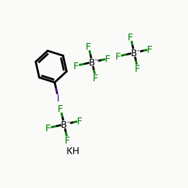 F[B-](F)(F)F.F[B-](F)(F)F.F[B-](F)(F)F.Ic1ccccc1.[KH]